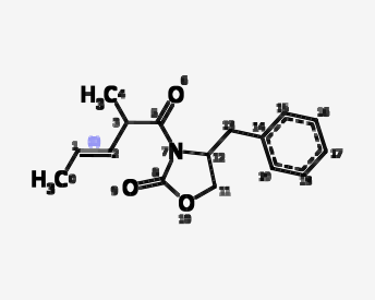 C/C=C/C(C)C(=O)N1C(=O)OCC1Cc1ccccc1